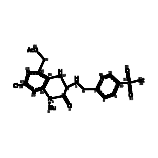 CC[C@@H](C)N1C(=O)C(NCc2ccc(S(=O)(=O)CC)cn2)Nc2c(COC(C)=O)nc(Cl)nc21